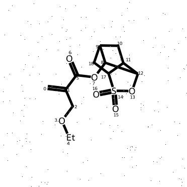 C=C(COCC)C(=O)OC1C2CC3C1OS(=O)(=O)C3C2